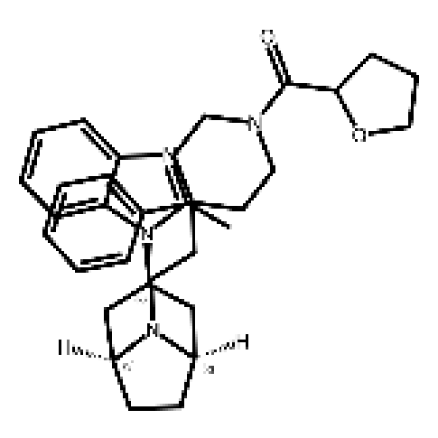 Cc1nc2ccccc2n1[C@H]1C[C@H]2CC[C@@H](C1)N2CCC1(c2ccccc2)CCN(C(=O)C2CCCO2)CC1